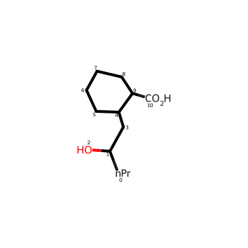 CCCC(O)CC1C[CH]CCC1C(=O)O